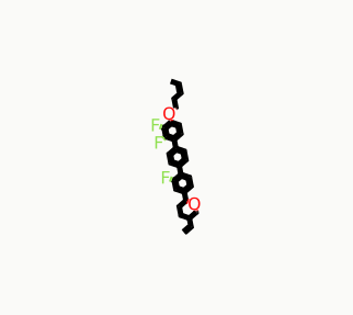 C=CC1CCC(c2ccc(-c3ccc(-c4ccc(OCC/C=C\C)c(F)c4F)cc3)c(F)c2)OC1